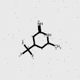 CC1CC(C(F)(F)F)CC(=N)N1